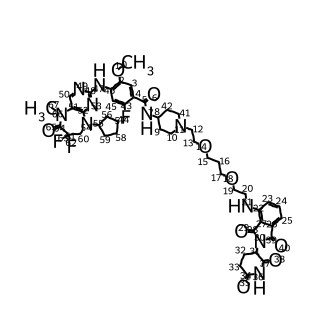 COc1cc(C(=O)NC2CCN(CCOCCCOCCNc3cccc4c3C(=O)N(C3CCC(=O)NC3=O)C4=O)CC2)c(F)cc1Nc1ncc2c(n1)N(C1CCCC1)CC(F)(F)C(=O)N2C